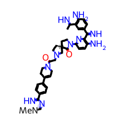 CN/C=N\C(=N)c1ccc(C2=CCN(C(=O)CN3CC[C@]4(CCN(c5ccc(N)c(C(=N)c6ccc(N)c(C(C)=N)c6)n5)C4=O)C3)CC2)cc1